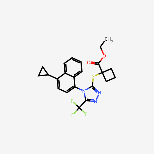 CCOC(=O)C1(Sc2nnc(C(F)(F)F)n2-c2ccc(C3CC3)c3ccccc23)CCC1